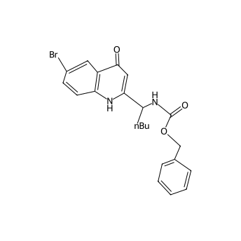 CCCCC(NC(=O)OCc1ccccc1)c1cc(=O)c2cc(Br)ccc2[nH]1